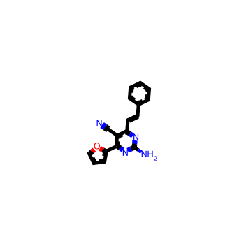 N#Cc1c(/C=C/c2ccccc2)nc(N)nc1-c1ccco1